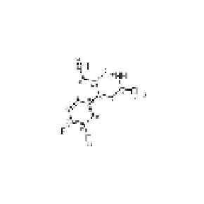 C[C@H]1C[C@@H](c2ccc(F)c(F)c2)[C@@H](CO)CN1